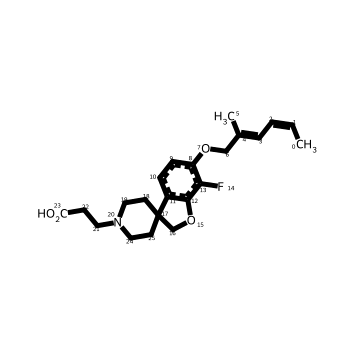 C/C=C\C=C(/C)COc1ccc2c(c1F)OCC21CCN(CCC(=O)O)CC1